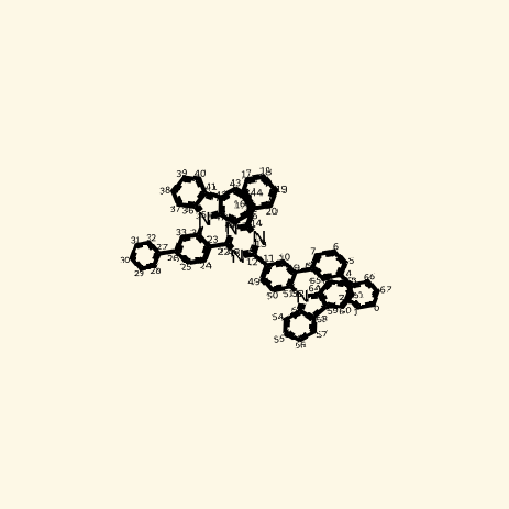 c1ccc(-c2cccc(-c3cc(-c4nc(-c5ccccc5)nc(-c5ccc(-c6ccccc6)cc5-n5c6ccccc6c6ccccc65)n4)ccc3-n3c4ccccc4c4ccccc43)c2)cc1